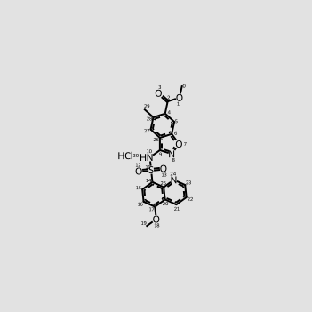 COC(=O)c1cc2onc(NS(=O)(=O)c3ccc(OC)c4cccnc34)c2cc1C.Cl